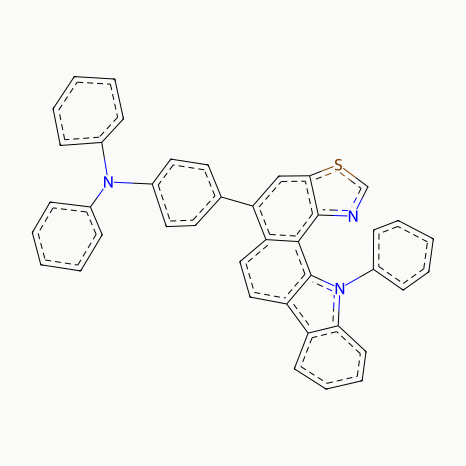 c1ccc(N(c2ccccc2)c2ccc(-c3cc4scnc4c4c3ccc3c5ccccc5n(-c5ccccc5)c34)cc2)cc1